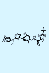 Cc1cc(-c2ncnc(Nc3cnn(C)c3)n2)c(F)cc1CNC(=O)c1nc(C(C)(C)C)no1